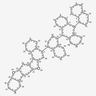 c1ccc2c(-c3c4ccccc4c(-c4ccc(-c5cc6oc7cc8c(cc7c6c6ccccc56)oc5ccccc58)c5ccccc45)c4ccccc34)cccc2c1